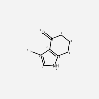 O=C1CCCc2[nH]cc(I)c21